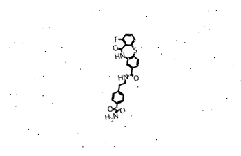 NS(=O)(=O)c1ccc(CCNC(=O)c2ccc3c(c2)NC(=O)c2c(F)cccc2S3)cc1